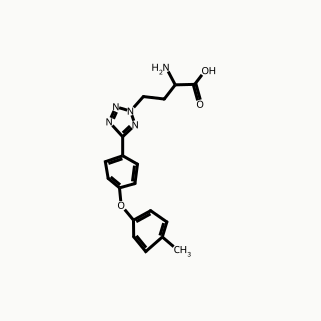 Cc1ccc(Oc2ccc(-c3nnn(CCC(N)C(=O)O)n3)cc2)cc1